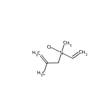 C=C[Si](C)(Cl)CC(=C)C